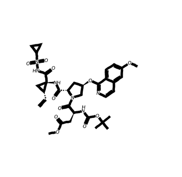 C=C[C@@H]1C[C@]1(NC(=O)[C@@H]1C[C@@H](Oc2nccc3cc(OC)ccc23)CN1C(=O)[C@H](CC(=O)OC)NC(=O)OC(C)(C)C)C(=O)NS(=O)(=O)C1CC1